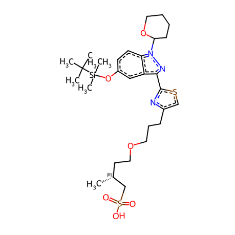 C[C@H](CCOCCCc1csc(-c2nn(C3CCCCO3)c3ccc(O[Si](C)(C)C(C)(C)C)cc23)n1)CS(=O)(=O)O